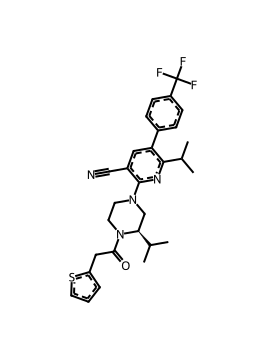 CC(C)c1nc(N2CCN(C(=O)Cc3cccs3)[C@H](C(C)C)C2)c(C#N)cc1-c1ccc(C(F)(F)F)cc1